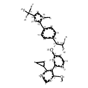 COc1ncnc(C2CC2)c1-c1nccc(O[C@H](c2ccc(-c3nc(C(F)(F)F)cn3C)cc2)C(F)F)n1